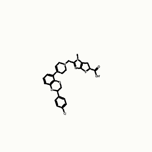 Cn1c(CN2CC=C(c3cccc4c3OCC(c3ccc(Cl)cc3)O4)CC2)nc2c1CC(C(=O)O)S2